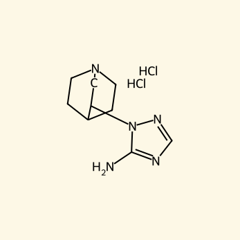 Cl.Cl.Nc1ncnn1C1CN2CCC1CC2